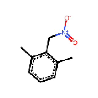 Cc1cccc(C)c1C[N+](=O)[O-]